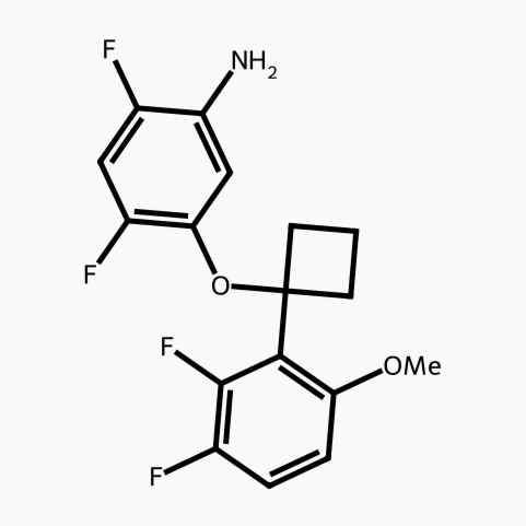 COc1ccc(F)c(F)c1C1(Oc2cc(N)c(F)cc2F)CCC1